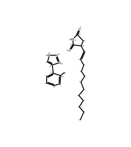 CCCCCCCCCCC=CC1CC(=O)NC1=O.Cc1ccccc1-c1c[nH]nn1